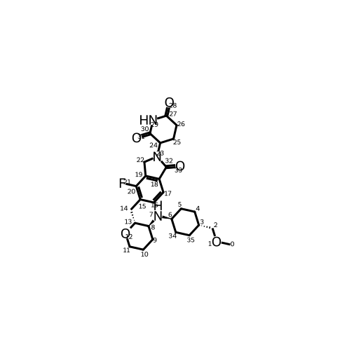 COC[C@H]1CC[C@H](N[C@H]2CCCO[C@@H]2Cc2ccc3c(c2F)CN(C2CCC(=O)NC2=O)C3=O)CC1